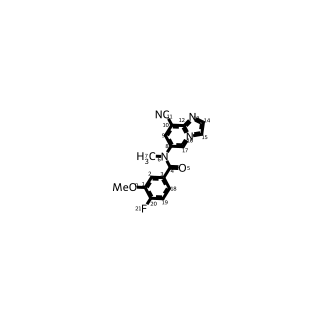 COc1cc(C(=O)N(C)c2cc(C#N)c3nccn3c2)ccc1F